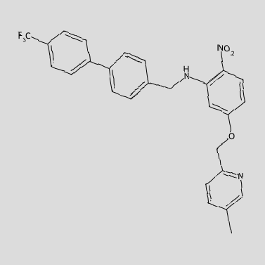 Cc1ccc(COc2ccc([N+](=O)[O-])c(NCc3ccc(-c4ccc(C(F)(F)F)cc4)cc3)c2)nc1